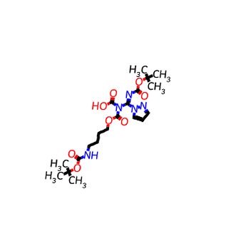 CC(C)(C)OC(=O)N=C(N(C(=O)O)C(=O)OCCCCNC(=O)OC(C)(C)C)n1cccn1